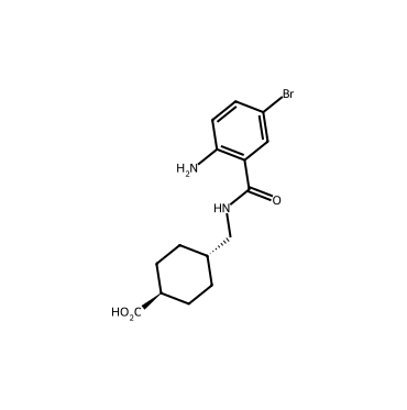 Nc1ccc(Br)cc1C(=O)NC[C@H]1CC[C@H](C(=O)O)CC1